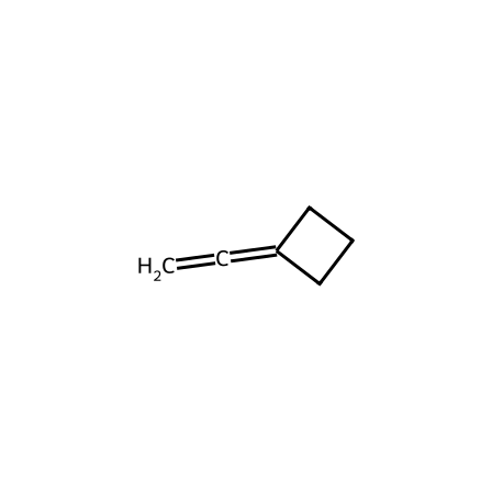 C=C=C1CCC1